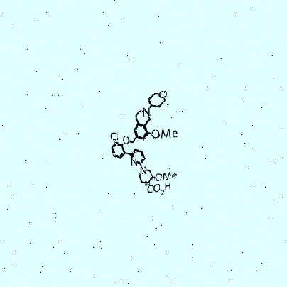 COc1cc(COc2c(Cl)cccc2-c2cccc(N3CC[C@@H](C(=O)O)[C@@H](OC)C3)n2)cc2c1CN(C1CCOCC1)CC2